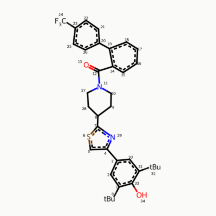 CC(C)(C)c1cc(-c2csc(C3CCN(C(=O)c4ccccc4-c4ccc(C(F)(F)F)cc4)CC3)n2)cc(C(C)(C)C)c1O